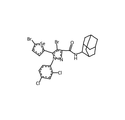 O=C(NC1C2CC3CC(C2)CC1C3)c1nn(-c2ccc(Cl)cc2Cl)c(-c2ccc(Br)[se]2)c1Br